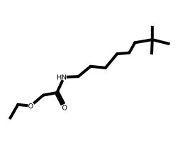 CCOCC(=O)NCCCCCCC(C)(C)C